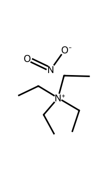 CC[N+](CC)(CC)CC.O=N[O-]